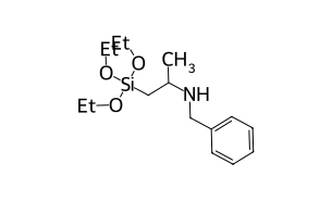 CCO[Si](CC(C)NCc1ccccc1)(OCC)OCC